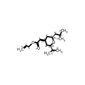 C=CCOC(=O)/C=C1/C[C@@H](CC(C)C)O[C@@H](C(C)C)C1